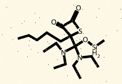 CCCCCC1(C(O[SiH2]C)(N(CC)CC)N(CC)CC)SC(=O)C1=O